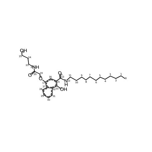 CCCCCCCCCCCCNC(=O)c1cc(OCC(=O)NCCCO)c2ccccc2c1O